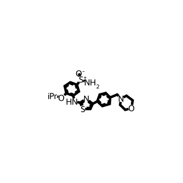 CC(C)Oc1ccc([S+](N)[O-])cc1Nc1nc(-c2ccc(CN3CCOCC3)cc2)cs1